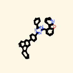 c1ccc(-c2nc(-c3ccc(-c4cc5c6c(cccc6c4)-c4ccccc4-5)cc3)nc(-c3cccc4oc5ncccc5c34)n2)cc1